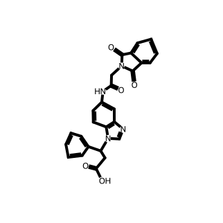 O=C(O)CC(c1ccccc1)n1cnc2cc(NC(=O)CN3C(=O)c4ccccc4C3=O)ccc21